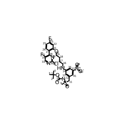 CC(C)(C)OC(=O)N=S(C)(=O)Cc1cc(NCCCCOc2cc(F)ccc2-c2nc(Cl)ncc2F)cc([N+](=O)[O-])c1